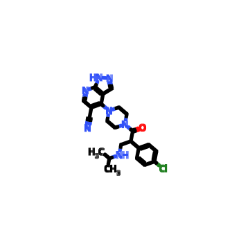 CC(C)NCC(C(=O)N1CCN(c2c(C#N)cnc3[nH]ncc23)CC1)c1ccc(Cl)cc1